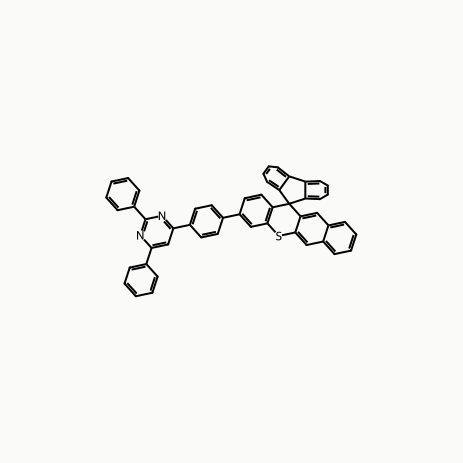 c1ccc(-c2cc(-c3ccc(-c4ccc5c(c4)Sc4cc6ccccc6cc4C54c5ccccc5-c5ccccc54)cc3)nc(-c3ccccc3)n2)cc1